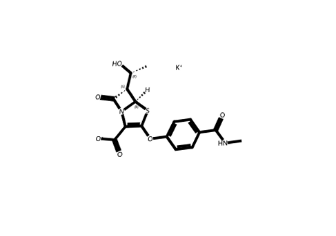 CNC(=O)c1ccc(OC2=C(C(=O)[O-])N3C(=O)[C@H]([C@@H](C)O)[C@H]3S2)cc1.[K+]